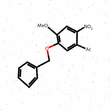 COc1cc([N+](=O)[O-])c(C(C)=O)cc1OCc1ccccc1